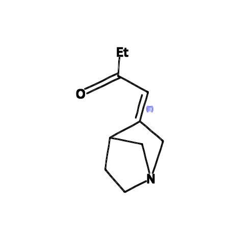 CCC(=O)/C=C1/CN2CCC1C2